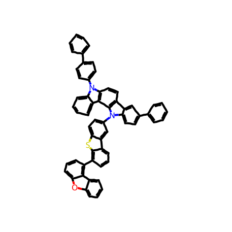 c1ccc(-c2ccc(-n3c4ccccc4c4c3ccc3c5cc(-c6ccccc6)ccc5n(-c5ccc6sc7c(-c8cccc9oc%10ccccc%10c89)cccc7c6c5)c34)cc2)cc1